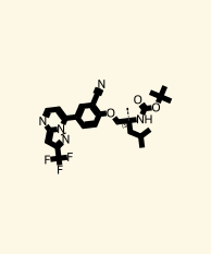 CC(C)C[C@@](C)(COc1ccc(-c2ccnc3cc(C(F)(F)F)nn23)cc1C#N)NC(=O)OC(C)(C)C